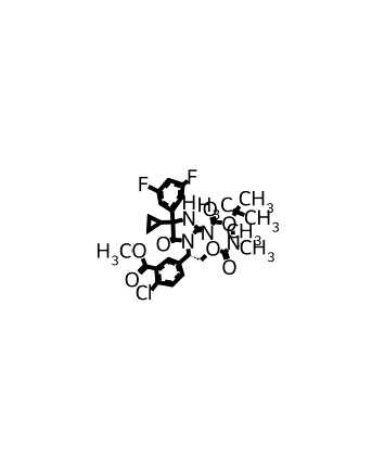 COC(=O)c1cc([C@@H](COC(=O)N(C)C)N2C(=O)C(c3cc(F)cc(F)c3)(C3CC3)NC2=NC(=O)OC(C)(C)C)ccc1Cl